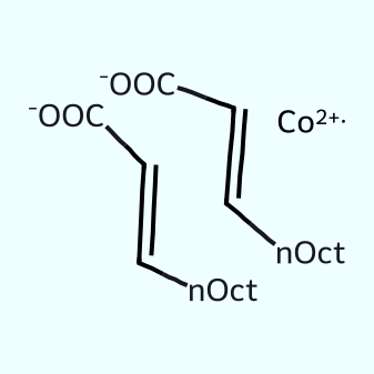 CCCCCCCCC=CC(=O)[O-].CCCCCCCCC=CC(=O)[O-].[Co+2]